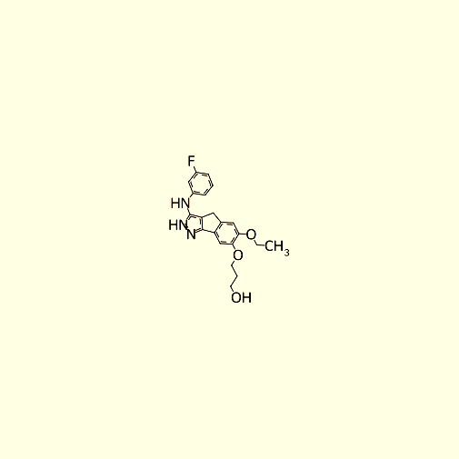 CCOc1cc2c(cc1OCCCO)-c1n[nH]c(Nc3cccc(F)c3)c1C2